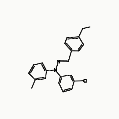 CCc1ccc(C=NN(c2cccc(C)c2)c2cccc(Cl)c2)cc1